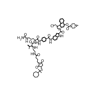 C=C(C)[C@H](NCCNC(=O)CCCN1C(=O)CC(SC(C)(C)C2CCCCCC2)C1=O)C(=O)N[C@@H](CCCNC(N)=O)C(=O)Nc1ccc(C(=O)Nc2ccc3[nH]c(C(=O)N4C[C@@H](CCl)c5c4cc(OC(=O)N4CCN(C)CC4)c4ccccc54)cc3c2)cc1